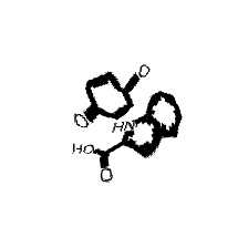 O=C(O)c1cc2ccccc2[nH]1.O=C1C=CC(=O)C=C1